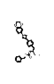 CC(Cc1ccc(C2CN(c3ccc4c(c3)OCCO4)C2)cc1)NC(=O)OCc1ccccc1